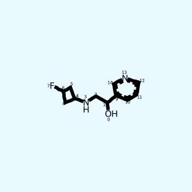 OC(CNC1CC(F)C1)c1cccnc1